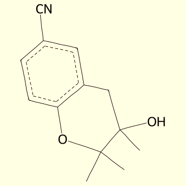 CC1(O)Cc2cc(C#N)ccc2OC1(C)C